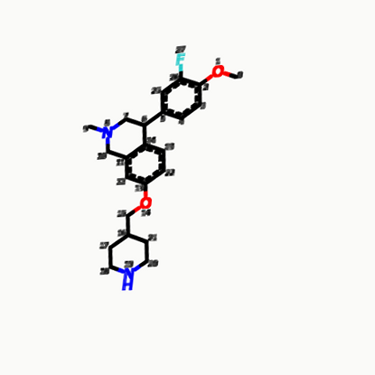 COc1ccc(C2CN(C)Cc3cc(OCC4CCNCC4)ccc32)cc1F